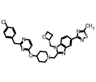 Cc1nc(-c2ccc3c(c2)nc(CN2CCC(Oc4ccnc(Cc5ccc(Cl)cc5)n4)CC2)n3C[C@@H]2CCO2)ns1